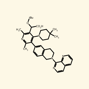 Cc1nc(C)c(C(OC(C)(C)C)C(=O)O)c(N2CCC(C)(C)CC2)c1-c1ccc2c(c1)CCN(c1nccc3cccnc13)C2